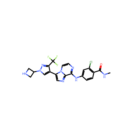 CNC(=O)c1ccc(Nc2nccn3c(-c4cn(C5CNC5)nc4C(F)(F)F)cnc23)cc1Cl